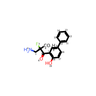 NCC(F)(C(=O)O)C(=O)c1cc(-c2ccccc2)ccc1O